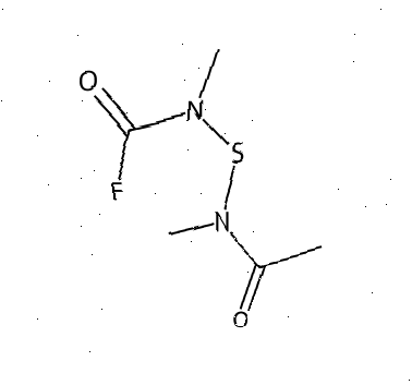 CC(=O)N(C)SN(C)C(=O)F